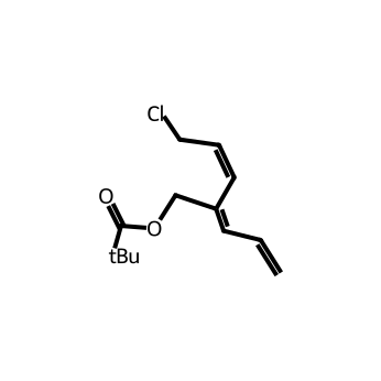 C=C/C=C(\C=C/CCl)COC(=O)C(C)(C)C